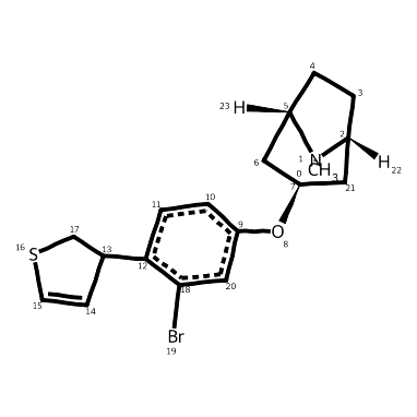 CN1[C@@H]2CC[C@H]1C[C@H](Oc1ccc(C3C=CSC3)c(Br)c1)C2